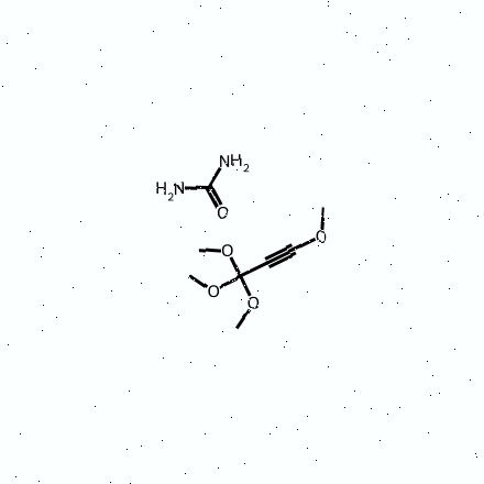 COC#CC(OC)(OC)OC.NC(N)=O